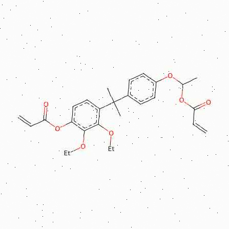 C=CC(=O)Oc1ccc(C(C)(C)c2ccc(OC(C)OC(=O)C=C)cc2)c(OCC)c1OCC